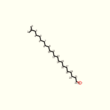 CC(C)CCCCCCCCCCCCCCCCCCCC[O]